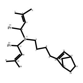 CC(C)=CC(B(CCCCC1=CC2CCC1C2)C(C=C(C)C)C(C)C)C(C)C